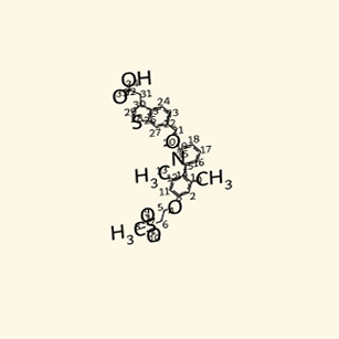 Cc1cc(OCCS(C)(=O)=O)cc(C)c1-c1cccc(OCc2ccc3c(c2)SCC3CC(=O)O)n1